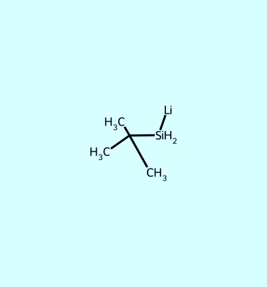 [Li][SiH2]C(C)(C)C